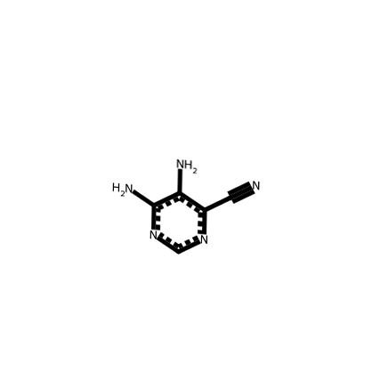 N#Cc1ncnc(N)c1N